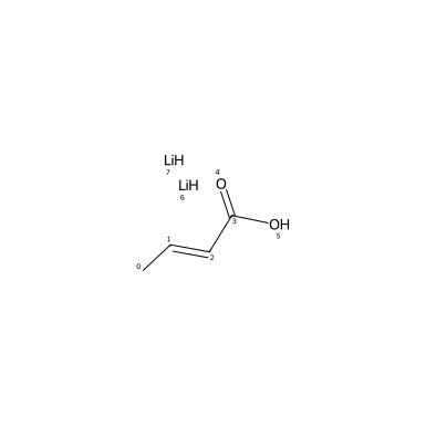 C/C=C/C(=O)O.[LiH].[LiH]